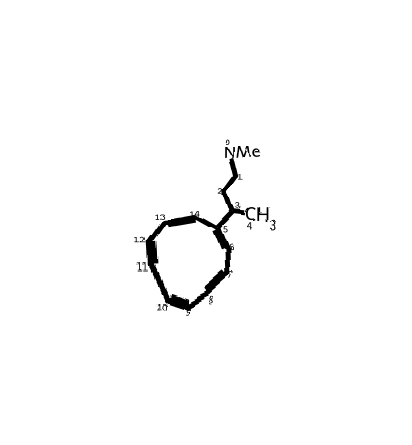 CNCCC(C)c1ccccccccc1